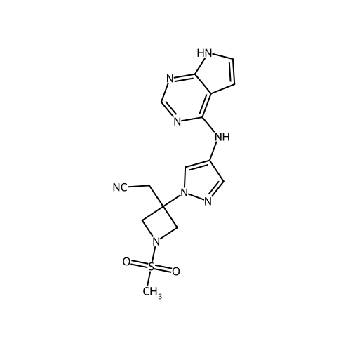 CS(=O)(=O)N1CC(CC#N)(n2cc(Nc3ncnc4[nH]ccc34)cn2)C1